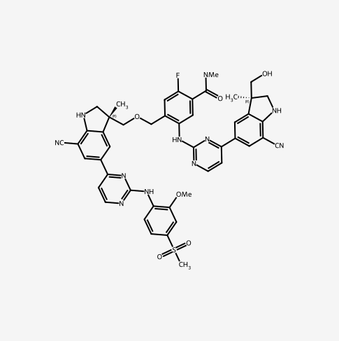 CNC(=O)c1cc(Nc2nccc(-c3cc(C#N)c4c(c3)[C@@](C)(CO)CN4)n2)c(COC[C@@]2(C)CNc3c(C#N)cc(-c4ccnc(Nc5ccc(S(C)(=O)=O)cc5OC)n4)cc32)cc1F